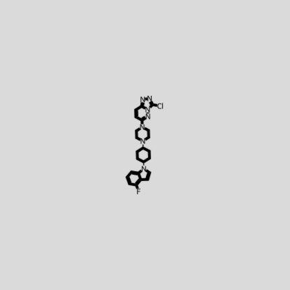 Fc1cccc2c1ccn2[C@H]1CC[C@@H](N2CCN(c3ccc4nnc(Cl)n4n3)CC2)CC1